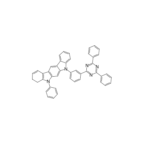 C1=Cc2c(n(-c3ccccc3)c3cc4c(cc23)c2ccccc2n4-c2cccc(-c3nc(-c4ccccc4)nc(-c4ccccc4)n3)c2)CC1